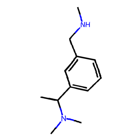 CNCc1cccc(C(C)N(C)C)c1